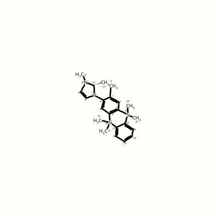 Cc1cc2c(cc1N1C=CN(C)[C@@H]1C)[Si](C)(C)c1ccccc1[Si]2(C)C